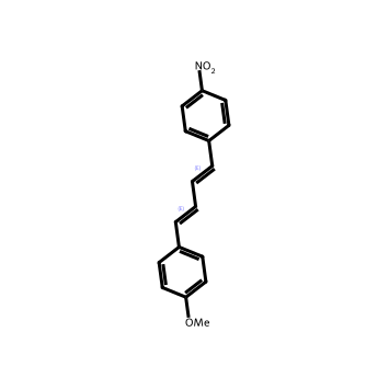 COc1ccc(/C=C/C=C/c2ccc([N+](=O)[O-])cc2)cc1